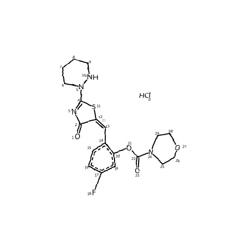 Cl.O=C1N=C(N2CCCCN2)S/C1=C/c1ccc(F)cc1OC(=O)N1CCOCC1